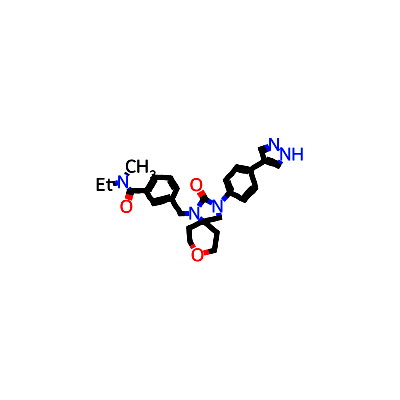 CCN(C)C(=O)c1cccc(CN2C(=O)N(c3ccc(-c4cn[nH]c4)cc3)CC23CCOCC3)c1